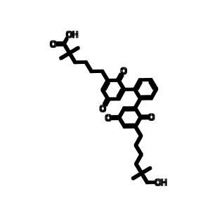 CC(C)(CO)CCCCC1=CC(=O)C=C(c2ccccc2C2=CC(=O)C=C(CCCCC(C)(C)C(=O)O)C2=O)C1=O